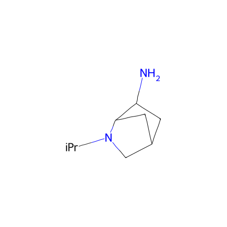 CC(C)N1CC2CC(N)C1C2